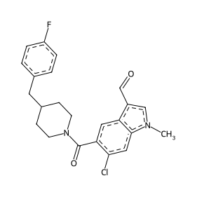 Cn1cc(C=O)c2cc(C(=O)N3CCC(Cc4ccc(F)cc4)CC3)c(Cl)cc21